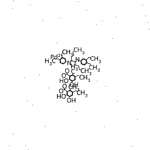 CCCCC(=Nc1ccc(CC)c(CC)c1)C(CCCC)=Nc1ccc(CC)c(CC)c1.CCc1cc(O)c(O)c(C(=O)[O-])c1C.CCc1cc(O)c(O)c(C(=O)[O-])c1C.[Pd+2]